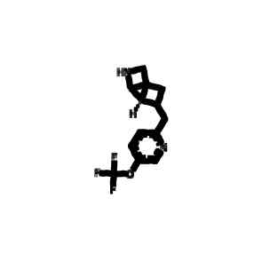 FC(F)(F)Oc1ccc(CC2CC34CNC3[C@H]24)nc1